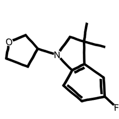 CC1(C)CN(C2CCOC2)c2ccc(F)cc21